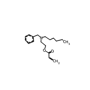 C=CC(=O)OCCN(CCCCCC)Cc1ccccc1